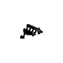 CC(=O)[O-].CC(=O)[O-].CC(=O)[O-].CC(=O)[O-].CCOC(C)=O.[Ti+4]